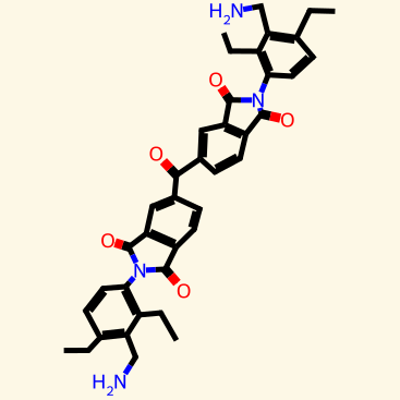 CCc1ccc(N2C(=O)c3ccc(C(=O)c4ccc5c(c4)C(=O)N(c4ccc(CC)c(CN)c4CC)C5=O)cc3C2=O)c(CC)c1CN